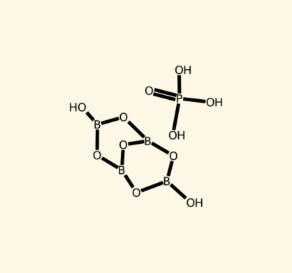 O=P(O)(O)O.OB1OB2OB(O)OB(O1)O2